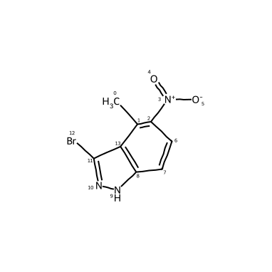 Cc1c([N+](=O)[O-])ccc2[nH]nc(Br)c12